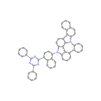 c1ccc(-c2nc(-c3ccccc3)nc(-c3ccc(-n4c5cccc6c7ccccc7n7c8ccc9ccccc9c8c8ccc4c(c65)c87)c4ccccc34)n2)cc1